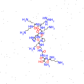 N=C(N)NCC/C=C(\NC(=O)[C@H](CCCCN)NC(=O)[C@H](Cc1cnc[nH]1)NC(=O)[C@@H]1CCCN1C(=O)[C@@H](CCCN)NC(=O)CNC(=O)CNC(=O)[C@@H](NC(=O)[C@@H](N)CCCCN)[C@@H](O)CN)C(=O)N[C@@H](CCCCN)C(=O)NCCCCN